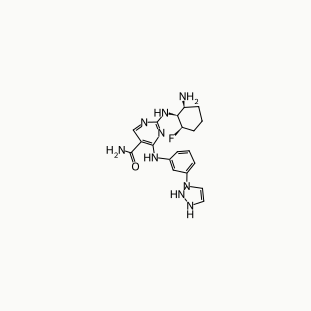 NC(=O)c1cnc(N[C@@H]2[C@H](F)CCC[C@@H]2N)nc1Nc1cccc(N2C=CNN2)c1